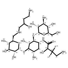 NCCC(O)CNC[C@H]1O[C@H](OC2[C@@H](N)C[C@@H](NC(=O)C(O)C(F)(F)CN)[C@H](O[C@H]3O[C@H](CO)[C@@H](O)[C@H](N)[C@H]3O)[C@H]2O)[C@H](O)[C@@H](O)[C@@H]1O